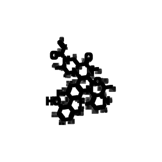 C=CC(=O)N1CC2C(=O)N(C)c3c(c4cc(F)c(-c5c(O)cccc5F)c(F)c4n(-c4c(C)ccnc4C(C)C)c3=O)N2CC1C